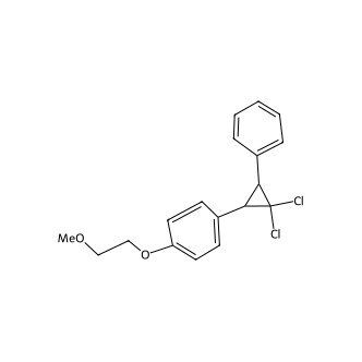 COCCOc1ccc(C2C(c3ccccc3)C2(Cl)Cl)cc1